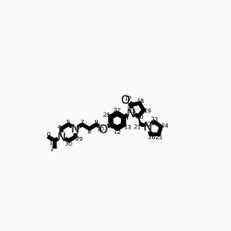 CC(C)N1CCN(CCCOc2ccc(N3C(=O)CC[C@H]3CN3CCCC3)cc2)CC1